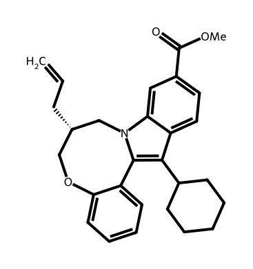 C=CC[C@H]1COc2ccccc2-c2c(C3CCCCC3)c3ccc(C(=O)OC)cc3n2C1